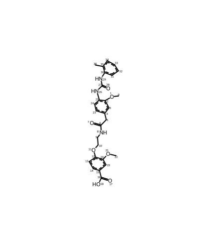 COc1cc(CC(=O)NCCOc2ccc(C(=O)O)cc2OC)ccc1NC(=O)Nc1ccccc1C